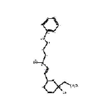 CCOC(=O)CC1(O)CCCC(/C=C/C(O)CCCOc2ccccc2)C1